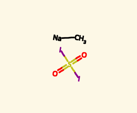 O=S(=O)(I)I.[CH3][Na]